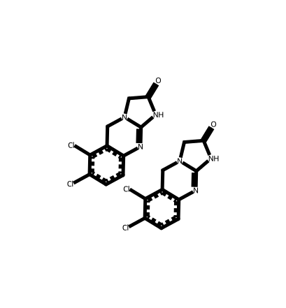 O=C1CN2Cc3c(ccc(Cl)c3Cl)N=C2N1.O=C1CN2Cc3c(ccc(Cl)c3Cl)N=C2N1